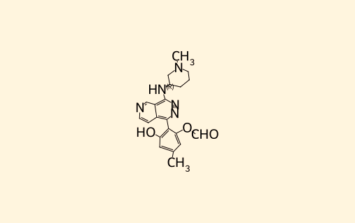 Cc1cc(O)c(-c2nnc(N[C@@H]3CCCN(C)C3)c3cnccc23)c(OC=O)c1